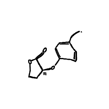 [CH2]c1ccc(O[C@H]2CCOC2=O)cc1